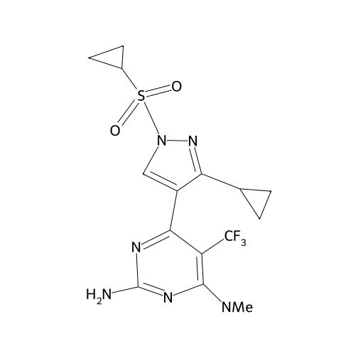 CNc1nc(N)nc(-c2cn(S(=O)(=O)C3CC3)nc2C2CC2)c1C(F)(F)F